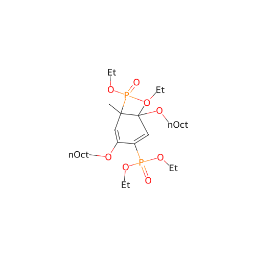 CCCCCCCCOC1=CC(C)(P(=O)(OCC)OCC)C(C)(OCCCCCCCC)C=C1P(=O)(OCC)OCC